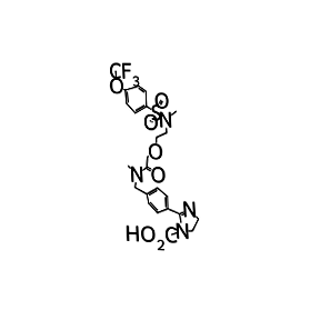 CN(Cc1ccc(C2=NCCN2C(=O)O)cc1)C(=O)COCCN(C)S(=O)(=O)c1ccc(OC(F)(F)F)cc1